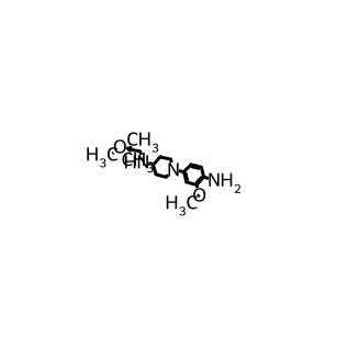 COc1cc(N2CCC(NCC(C)(C)OC)CC2)ccc1N